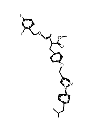 COC(=O)C(Cc1ccc(OCc2cnn(-c3ccc(CC(C)C)cc3)c2)cc1)C(C)=NOCc1ccc(F)cc1F